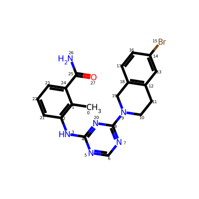 Cc1c(Nc2ncnc(N3CCc4cc(Br)ccc4C3)n2)cccc1C(N)=O